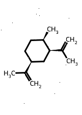 C=C(C)[C@H]1CC[C@@H](C)[C@@H](C(=C)C)C1